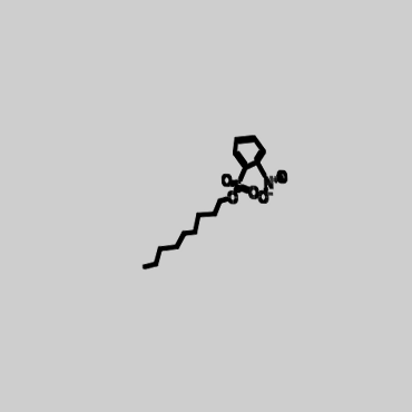 CCCCCCCCCOS(=O)(=O)c1ccccc1[N+](=O)[O-]